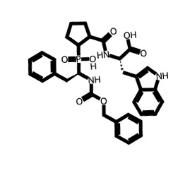 O=C(N[C@@H](Cc1ccccc1)P(=O)(O)C1CCCC1C(=O)N[C@@H](Cc1c[nH]c2ccccc12)C(=O)O)OCc1ccccc1